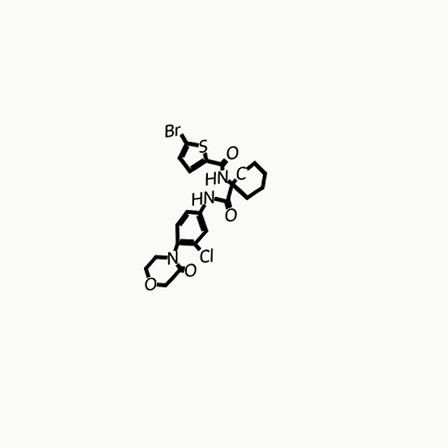 O=C(NC1(C(=O)Nc2ccc(N3CCOCC3=O)c(Cl)c2)CCCCC1)c1ccc(Br)s1